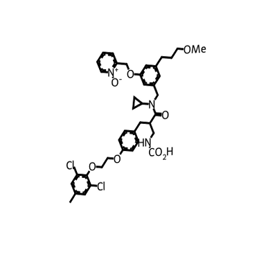 COCCCc1cc(CN(C(=O)C(CNC(=O)O)Cc2ccc(OCCOc3c(Cl)cc(C)cc3Cl)cc2)C2CC2)cc(OCc2cccc[n+]2[O-])c1